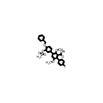 COc1cc(-c2ccc(OCc3ccccc3)c(OS(C)(=O)=O)c2)c(OC)c(C(=O)O)c1-c1ccc(F)cc1